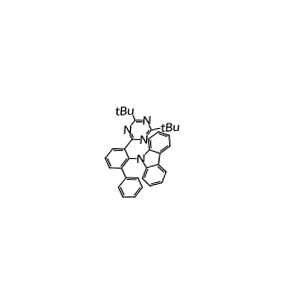 CC(C)(C)c1nc(-c2cccc(-c3ccccc3)c2-n2c3ccccc3c3ccccc32)nc(C(C)(C)C)n1